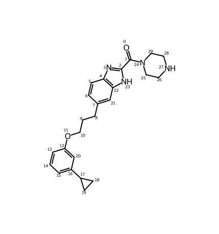 O=C(c1nc2ccc(CCCOc3cccc(C4CC4)c3)cc2[nH]1)N1CCNCC1